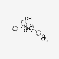 O=C(N1C[C@@H](O)C=C[C@@H]1Cc1ccccc1)n1ncc(-c2ccc(OC(F)(F)F)cc2)n1